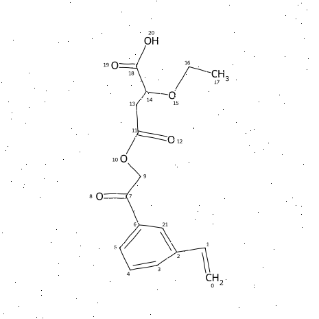 C=Cc1cccc(C(=O)COC(=O)CC(OCC)C(=O)O)c1